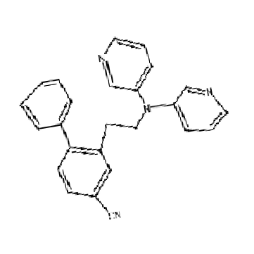 N#Cc1ccc(-c2ccccc2)c(CCN(c2cccnc2)c2cccnc2)c1